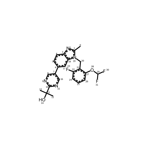 Cc1nc2ccc(-c3cnc(C(C)(C)O)nc3)cc2n1Cc1c(F)cccc1OC(F)F